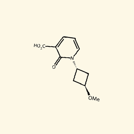 CO[C@H]1C[C@H](n2cccc(C(=O)O)c2=O)C1